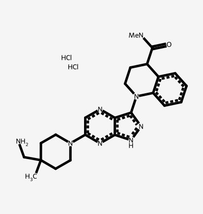 CNC(=O)C1CCN(c2n[nH]c3nc(N4CCC(C)(CN)CC4)cnc23)c2ccccc21.Cl.Cl